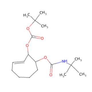 CC(C)(C)NC(=O)OC1CCCC/C=C/C1OC(=O)OC(C)(C)C